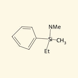 CC[Si](C)(NC)c1ccccc1